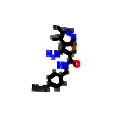 CSc1ccc(CNC(=O)c2sc3nnc(C)c(C)c3c2N)cc1